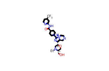 CCN1C[C@H](C2=C3C=NC=C[N+]3(N)C(c3ccc(C(=O)Nc4cc(C(F)(F)F)ccn4)cc3)=N2)OC[C@@H]1CO